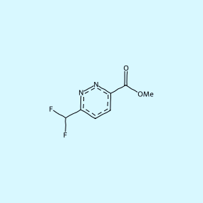 COC(=O)c1ccc(C(F)F)nn1